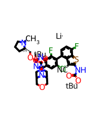 CN1CCC[C@H]1COc1nc(N2C3COCC2CN(C(=O)OC(C)(C)C)C3)c2cc(Cl)c(-c3ccc(F)c4sc(NC(=O)OC(C)(C)C)c(C#N)c34)c(F)c2n1.[Li]